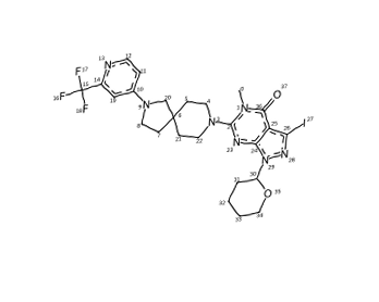 Cn1c(N2CCC3(CCN(c4ccnc(C(F)(F)F)c4)C3)CC2)nc2c(c(I)nn2C2CCCCO2)c1=O